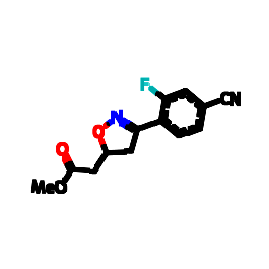 COC(=O)CC1CC(c2ccc(C#N)cc2F)=NO1